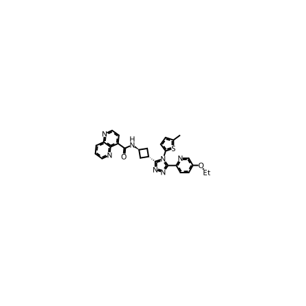 CCOc1ccc(-c2nnc([C@H]3C[C@H](NC(=O)c4ccnc5cccnc45)C3)n2-c2ccc(C)s2)nc1